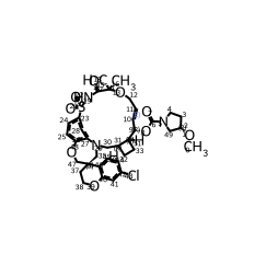 CO[C@@H]1CCN(C(=O)O[C@H]2/C=C/COC(C)(C)C(=O)NS(=O)(=O)c3ccc4c(c3)N(C[C@@H]3CC[C@H]32)C[C@@]2(CCOc3cc(Cl)ccc32)CO4)C1